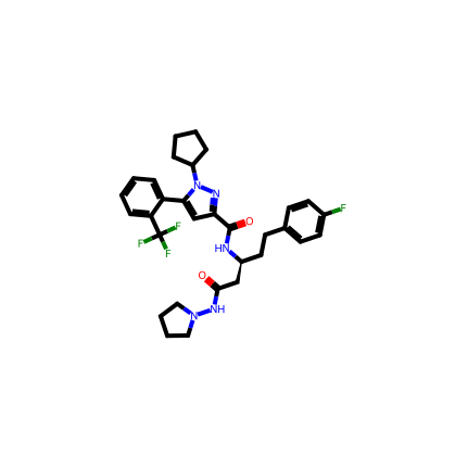 O=C(C[C@H](CCc1ccc(F)cc1)NC(=O)c1cc(-c2ccccc2C(F)(F)F)n(C2CCCC2)n1)NN1CCCC1